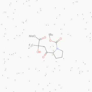 COC(=O)C(O)(CC(=O)C1CCCN1C(=O)OC(C)(C)C)C(F)(F)F